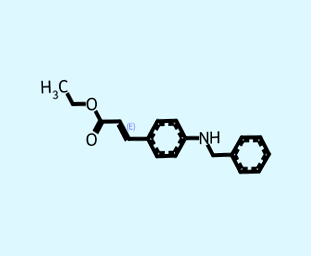 CCOC(=O)/C=C/c1ccc(NCc2ccccc2)cc1